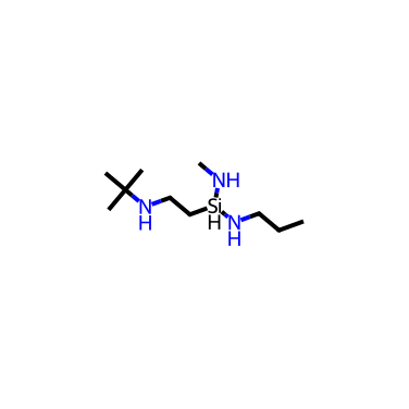 CCCN[SiH](CCNC(C)(C)C)NC